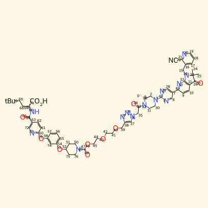 C[C@@H]1CN(c2ncc(-c3ccc4c(n3)N(Cc3cccnc3C#N)C(C)(C)C4=O)cn2)CCN1C(=O)Cn1cc(COCCOCCOC(=O)N2CCC(Oc3cccc(Oc4ccc(C(=O)N[C@@H](CCC(C)(C)C)C(=O)O)cn4)c3)CC2)nn1